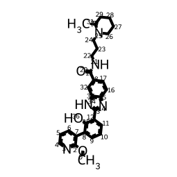 COc1ncccc1-c1cccc(-c2nc3ccc(C(=O)NCCCN4CCCC[C@@H]4C)cc3[nH]2)c1O